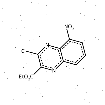 CCOC(=O)c1nc2cccc([N+](=O)[O-])c2nc1Cl